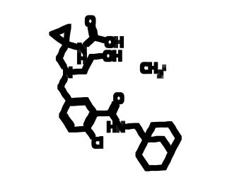 O=C(O)NC1(CN(CCO)Cc2ccc(Cl)c(C(=O)NCC34CCCC(CCC3)C4)c2)CC1.[CH2]